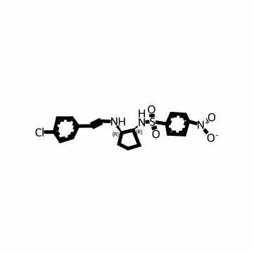 O=[N+]([O-])c1ccc(S(=O)(=O)N[C@@H]2CCC[C@H]2NC#Cc2ccc(Cl)cc2)cc1